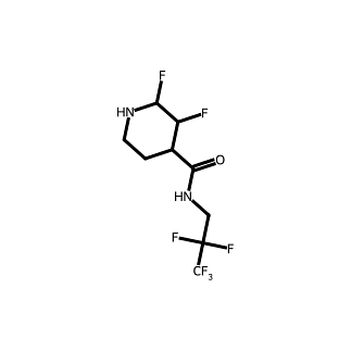 O=C(NCC(F)(F)C(F)(F)F)C1CCNC(F)C1F